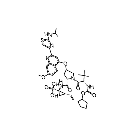 C=C[C@@H]1C[C@]1(NC(=O)[C@@H]1CC(Oc2cc(-c3csc(NC(C)C)n3)nc3cc(OC)ccc23)CN1C(=O)[C@@H](NC(=O)OC1CCCC1)C(C)(C)C)P(=O)(O)O